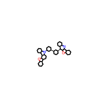 c1cc(-c2cccc(-n3c4ccccc4c4c5oc6ccccc6c5ccc43)c2)cc(-c2c3ccccc3nc3c2oc2ccccc23)c1